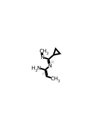 C=N/C(=N\C(N)=C/C)C1CC1